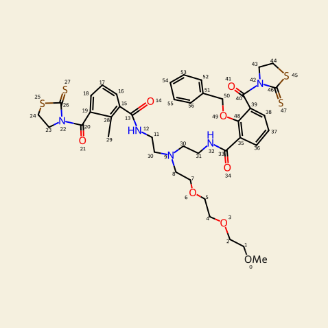 COCCOCCOCCN(CCNC(=O)c1cccc(C(=O)N2CCSC2=S)c1C)CCNC(=O)c1cccc(C(=O)N2CCSC2=S)c1OCc1ccccc1